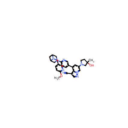 COc1ccc(CN2C3CC2CN(c2ccc(-c4cc(N5CCC(C)(O)C5)cn5ncc(C#N)c45)cn2)C3)cn1